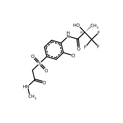 CNC(=O)CS(=O)(=O)c1ccc(NC(=O)[C@@](C)(O)C(F)(F)F)c(Cl)c1